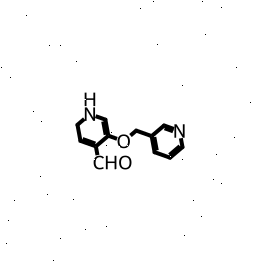 O=CC1=CCNC=C1OCc1cccnc1